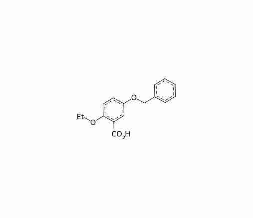 CCOc1ccc(OCc2ccccc2)cc1C(=O)O